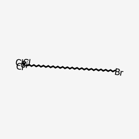 Cl[Si](Cl)(Cl)CCCCCCCCCCCCCCCCCCCCCCCCCCCCCCCCCCCCCCBr